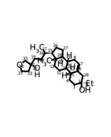 CC[C@]1(O)CC[C@H]2C(=CC[C@@H]3[C@@H]2CC[C@]2(C)[C@@H](C(C)CC[C@]4(O)CCOC4)CC[C@@H]32)C1